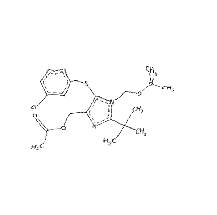 CC(=O)OCc1nc(C(C)(C)C)n(CO[SiH](C)C)c1Sc1cccc(Cl)c1